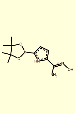 CC1(C)OB(c2ccc(/C(N)=N/O)[nH]2)OC1(C)C